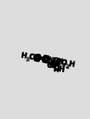 Cc1ccc(-c2ccc(NC(=O)[C@](C)(CO)NC(=O)O)cc2)cc1